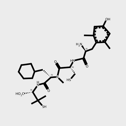 Cc1cc(O)cc(C)c1C[C@H](N)C(=O)N[C@H](CS)C(=O)N(C)[C@@H](CC1CCCCC1)C(=O)N[C@@H](C(=O)O)C(C)(C)S